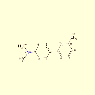 CN(C)[C@H]1CC=C(c2cccc(C(F)(F)F)c2)CC1